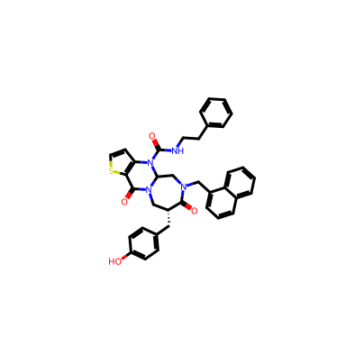 O=C1[C@H](Cc2ccc(O)cc2)CN2C(=O)c3sccc3N(C(=O)NCCc3ccccc3)C2CN1Cc1cccc2ccccc12